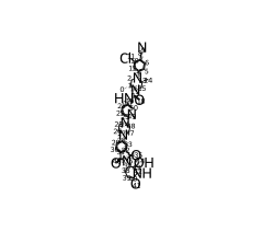 C[C@@H]1CN(c2ccc(C#N)c(Cl)c2)[C@@H](C)CN1C(=O)Nc1ccc(N2CCN(c3ccc4c(c3)C(=O)N(C3CCC(=O)NC3O)C4=O)CC2)nc1